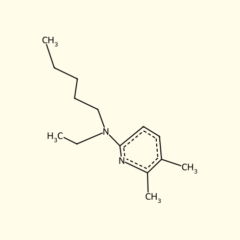 CCCCCN(CC)c1ccc(C)c(C)n1